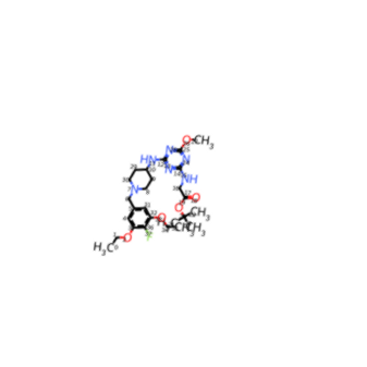 CCOc1cc(CN2CCC(Nc3nc(NCC(=O)OC(C)(C)C)nc(OC)n3)CC2)cc(OCC)c1F